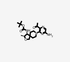 CC(=O)c1ncc(N)nc1N1CCC2(CC1)CO[C@@H](C)[C@H]2NC(=O)OC(C)(C)C